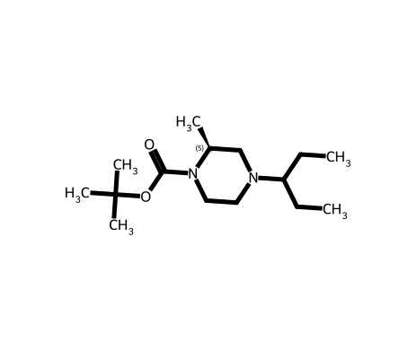 CCC(CC)N1CCN(C(=O)OC(C)(C)C)[C@@H](C)C1